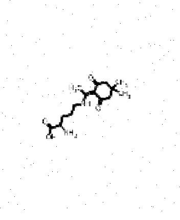 CC(NCCC[C@@H](N)C(=O)O)=C1C(=O)CC(C)(C)CC1=O